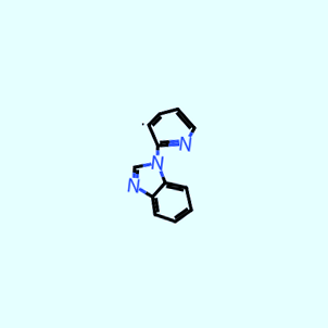 [c]1cccnc1-n1cnc2ccccc21